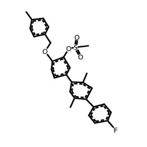 Cc1ccc(COc2ccc(-c3cc(C)c(-c4ccc(F)cc4)cc3C)cc2OS(C)(=O)=O)cc1